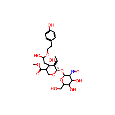 C/C=C1/[C@H](OC2OC(CO)C(O)C(O)C2N=O)OCC(C(=O)OC)[C@@]1(O)CC(O)OCCc1ccc(O)cc1